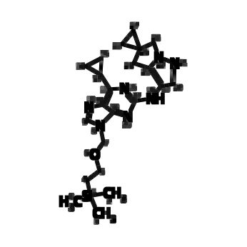 C[Si](C)(C)CCOCn1cnc2c(C3CC3)nc(Nc3cnn4c3CC3(CC3)C4)nc21